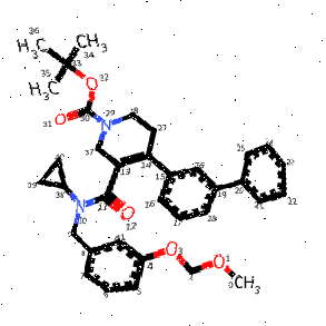 COCOc1cccc(CN(C(=O)C2=C(c3cccc(-c4ccccc4)c3)CCN(C(=O)OC(C)(C)C)C2)C2CC2)c1